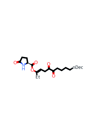 CCCCCCCCCCCCCCC(=O)C(=O)CC=C(CC)OC(=O)[C@@H]1CCC(=O)N1